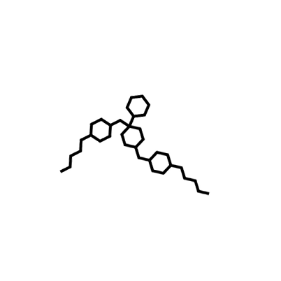 CCCCCC1CCC(CC2CCC(CC3CCC(CCCCC)CC3)(C3CCCCC3)CC2)CC1